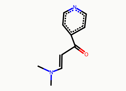 CN(C)C=CC(=O)c1ccncc1